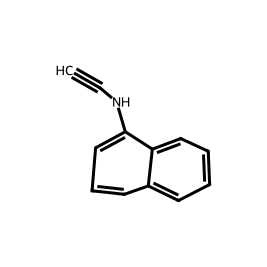 C#CNc1cccc2ccccc12